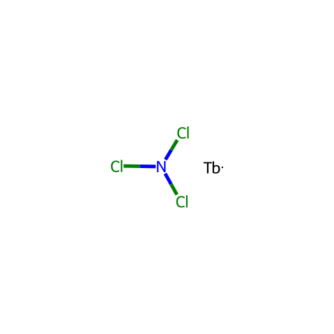 ClN(Cl)Cl.[Tb]